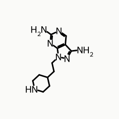 Nc1ncc2c(N)nn(CCC3CCNCC3)c2n1